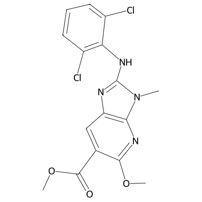 COC(=O)c1cc2nc(Nc3c(Cl)cccc3Cl)n(C)c2nc1OC